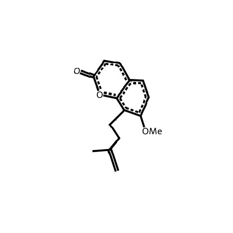 C=C(C)CCc1c(OC)ccc2ccc(=O)oc12